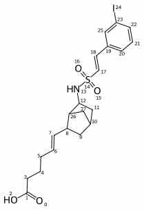 O=C(O)CCC/C=C/C1CC2CC(NS(=O)(=O)/C=C/c3cccc(I)c3)C1C2